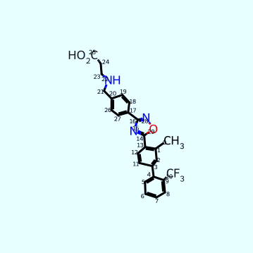 Cc1cc(-c2ccccc2C(F)(F)F)ccc1-c1nc(-c2ccc(CNCCC(=O)O)cc2)no1